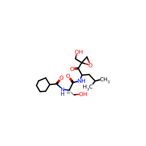 CC(C)CC(NC(=O)[C@H](CO)NC(=O)C1CCCCC1)C(=O)C1(CO)CO1